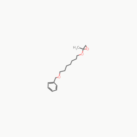 CC1(OCCCCCCCOCc2ccccc2)CO1